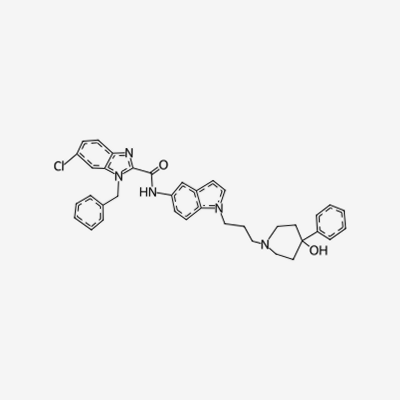 O=C(Nc1ccc2c(ccn2CCCN2CCC(O)(c3ccccc3)CC2)c1)c1nc2ccc(Cl)cc2n1Cc1ccccc1